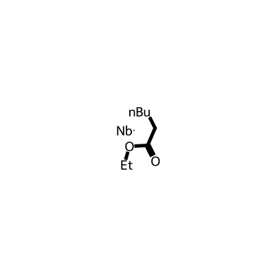 CCCCCC(=O)OCC.[Nb]